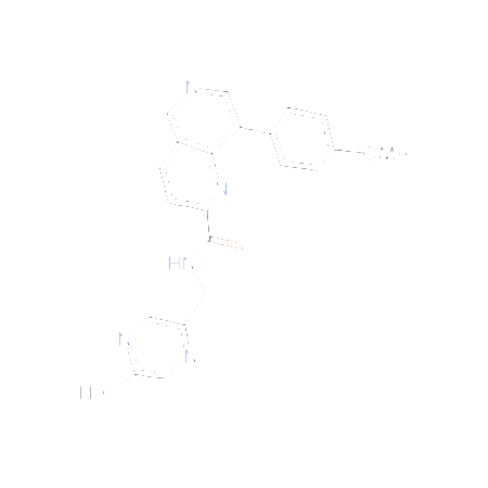 COc1ccc(-c2cncc3ccc(C(=O)NCc4cnc(C)cn4)nc23)cc1